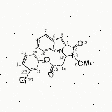 CON1C(=O)c2cc3ccccc3n2C1CC(=O)Oc1cccc(Cl)c1